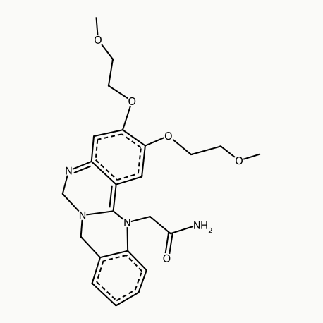 COCCOc1cc2c(cc1OCCOC)=C1N(CN=2)Cc2ccccc2N1CC(N)=O